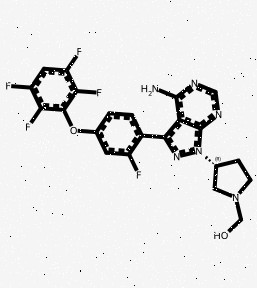 Nc1ncnc2c1c(-c1ccc(Oc3c(F)c(F)cc(F)c3F)cc1F)nn2[C@@H]1CCN(CO)C1